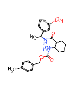 Cc1ccc(COC(=O)NC2CCCCC2C(=O)NC(C#N)c2cccc(O)c2)cc1